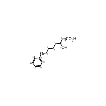 O=C(O)CC(O)CCCCOc1ccccc1